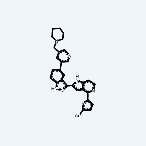 CC(=O)c1ccc(-c2nccc3[nH]c(-c4n[nH]c5ccc(-c6cncc(CN7CCCCC7)c6)cc45)cc23)s1